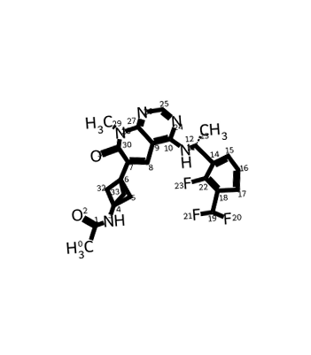 CC(=O)NC12CC(c3cc4c(N[C@H](C)c5cccc(C(F)F)c5F)ncnc4n(C)c3=O)(C1)C2